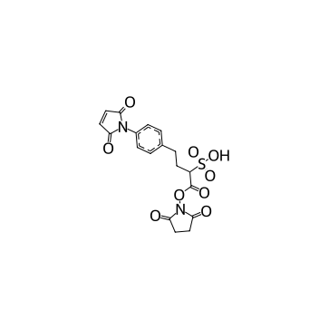 O=C(ON1C(=O)CCC1=O)C(CCc1ccc(N2C(=O)C=CC2=O)cc1)S(=O)(=O)O